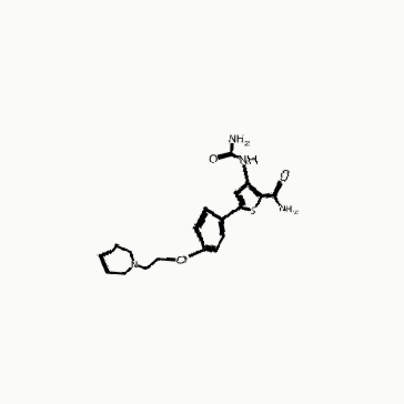 NC(=O)Nc1cc(-c2ccc(OCCN3CCCCC3)cc2)sc1C(N)=O